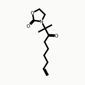 C=CCCCCC(=O)C(C)(C)N1CCOC1=O